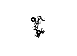 O=CN1CCSC1c1nnc(Sc2nc(-c3cc(C(F)(F)F)cc(C(F)(F)F)c3)cs2)n1-c1ccccc1